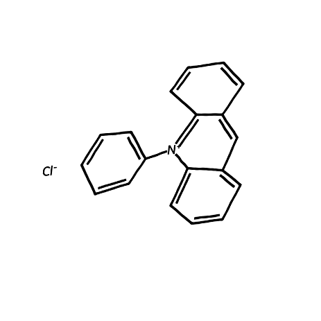 [Cl-].c1ccc(-[n+]2c3ccccc3cc3ccccc32)cc1